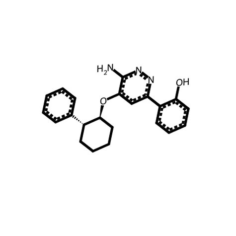 Nc1nnc(-c2ccccc2O)cc1O[C@H]1CCCC[C@@H]1c1ccccc1